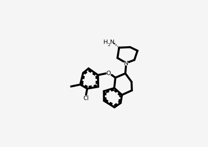 Cc1ccc(OC2c3ccccc3CCC2N2CCC[C@@H](N)C2)cc1Cl